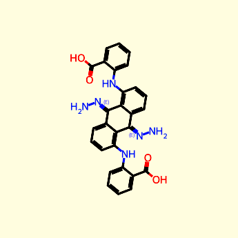 N/N=C1\c2cccc(Nc3ccccc3C(=O)O)c2/C(=N/N)c2cccc(Nc3ccccc3C(=O)O)c21